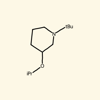 CC(C)OC1CCCN(C(C)(C)C)C1